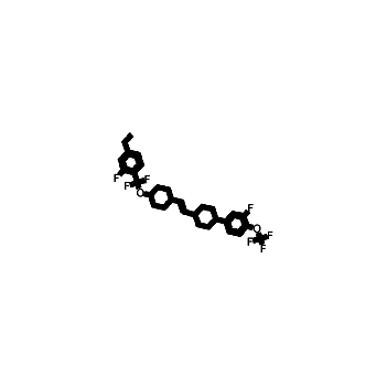 CCc1ccc(C(F)(F)OC2CCC(/C=C/C3CCC(c4ccc(OC(F)(F)F)c(F)c4)CC3)CC2)c(F)c1